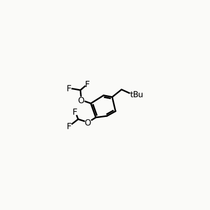 CC(C)(C)Cc1ccc(OC(F)F)c(OC(F)F)c1